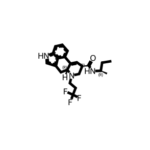 CC[C@@H](C)NC(=O)[C@@H]1C=C2c3cccc4[nH]cc(c34)C[C@H]2N(CCC(F)(F)F)C1